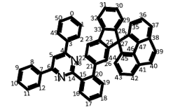 c1ccc(-c2cc(-c3ccccc3)nc(-c3ccccc3-c3ccc4c(c3)C3(c5ccccc5-4)c4cccc5ccc6cccc3c6c45)n2)cc1